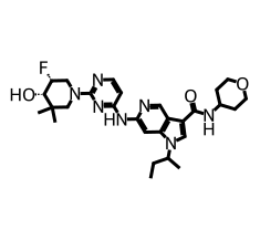 CCC(C)n1cc(C(=O)NC2CCOCC2)c2cnc(Nc3ccnc(N4C[C@@H](F)[C@@H](O)C(C)(C)C4)n3)cc21